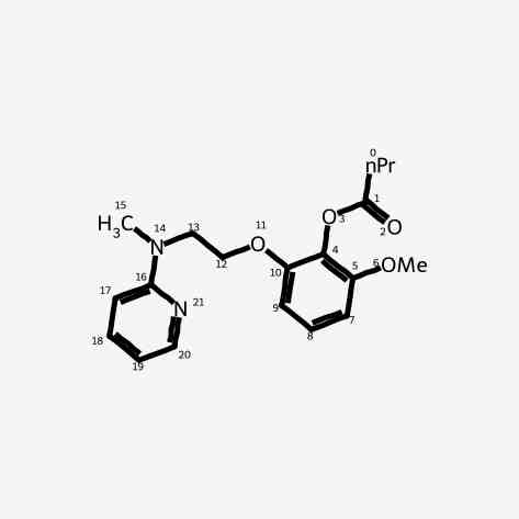 CCCC(=O)Oc1c(OC)cccc1OCCN(C)c1ccccn1